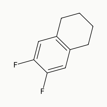 Fc1cc2c(cc1F)CCCC2